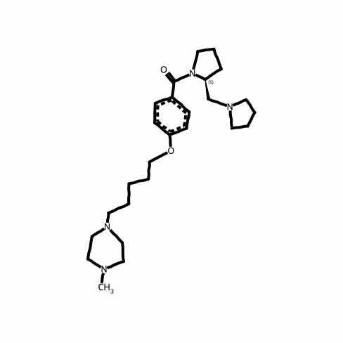 CN1CCN(CCCCCOc2ccc(C(=O)N3CCC[C@H]3CN3CCCC3)cc2)CC1